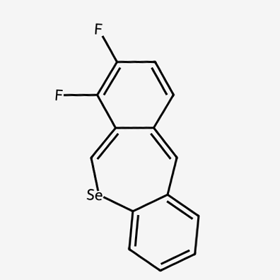 Fc1ccc2c(c1F)=C[Se]c1ccccc1C=2